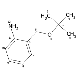 CC(C)(C)OCc1ccccc1N